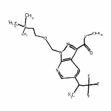 COC(=O)c1nn(COCC[Si](C)(C)C)c2ncc(C(C)C(F)(F)F)cc12